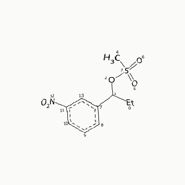 CCC(OS(C)(=O)=O)c1cccc([N+](=O)[O-])c1